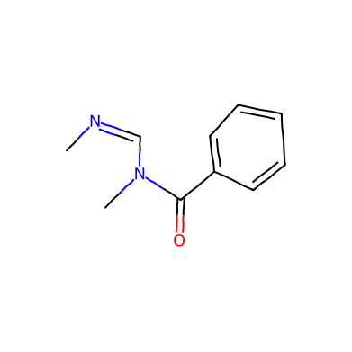 C/N=C\N(C)C(=O)c1ccccc1